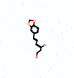 CC/C(=C\C=C\c1ccc2c(c1)OCO2)CCBr